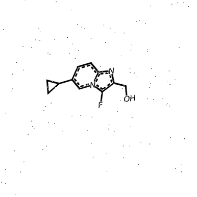 OCc1nc2ccc(C3CC3)cn2c1F